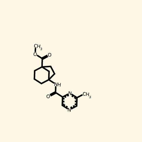 COC(=O)C12CCCC(NC(=O)c3cncc(C)n3)(CC1)C2